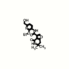 CCOc1nc(CO)ccc1NC(=O)c1coc2c1C(=O)NC(C)(C)C2